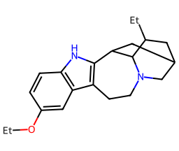 CCOc1ccc2[nH]c3c(c2c1)CCN1CC2CC(CC)C1C3C2